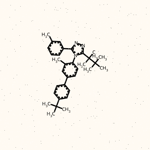 Cc1cccc(-c2nnc(C(C)(C)C(C)(C)C)n2-c2ccc(-c3ccc(C(C)(C)C)cc3)cc2C)c1